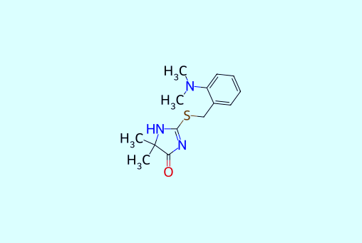 CN(C)c1ccccc1CSC1=NC(=O)C(C)(C)N1